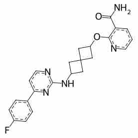 NC(=O)c1cccnc1OC1CC2(CC(Nc3nccc(-c4ccc(F)cc4)n3)C2)C1